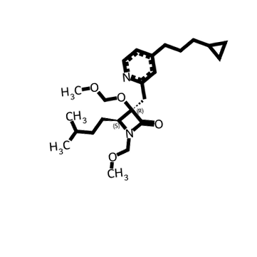 COCO[C@@]1(Cc2cc(CCCC3CC3)ccn2)C(=O)N(COC)[C@H]1CCC(C)C